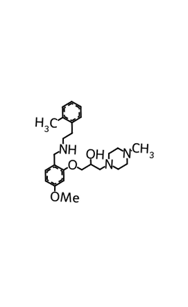 COc1ccc(CNCCc2ccccc2C)c(OCC(O)CN2CCN(C)CC2)c1